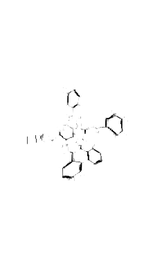 O=C(N[C@@H]1[C@@H](OCc2ccccc2)O[C@H](CO)[C@@H](OCc2ccccc2)[C@@H]1OCc1ccccc1)OCc1ccccc1